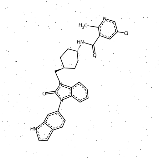 Cc1ncc(Cl)cc1C(=O)N[C@H]1CC[C@H](Cn2c(=O)n(-c3ccc4cc[nH]c4c3)c3ccccc32)CC1